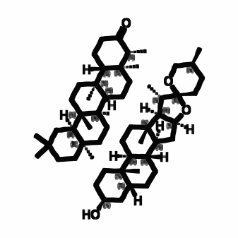 C[C@H]1C(=O)CC[C@@H]2[C@]1(C)CC[C@H]1[C@@]2(C)CC[C@@]2(C)[C@@H]3CC(C)(C)CC[C@]3(C)CC[C@]12C.C[C@H]1CC[C@@]2(OC1)O[C@H]1C[C@H]3[C@@H]4CC[C@@H]5C[C@@H](O)CC[C@]5(C)[C@H]4CC[C@]3(C)[C@H]1[C@@H]2C